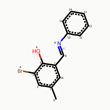 Cc1cc(Br)c(O)c(/C=N/c2ccccc2)c1